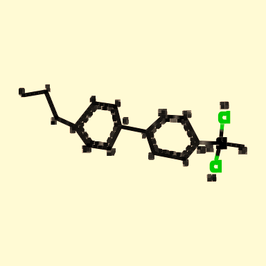 CCCc1ccc(-c2ccc([Si](C)(Cl)Cl)cc2)cc1